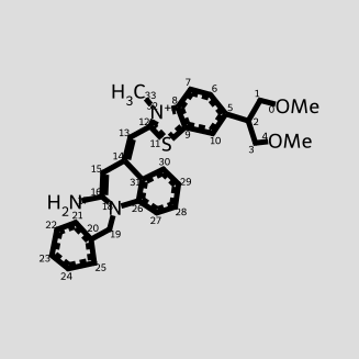 COCC(COC)c1ccc2c(c1)sc(/C=C1/C=C(N)N(Cc3ccccc3)c3ccccc31)[n+]2C